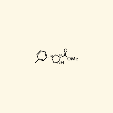 COC(=O)[C@@H]1C[C@@H](c2cccc(C)c2)CN1